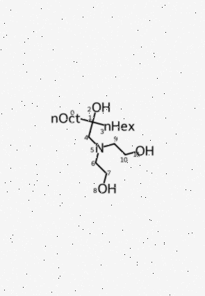 CCCCCCCCC(O)(CCCCCC)CN(CCO)CCO